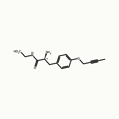 CC#CCOc1ccc(C[C@H](N)C(=O)NCC(=O)O)cc1